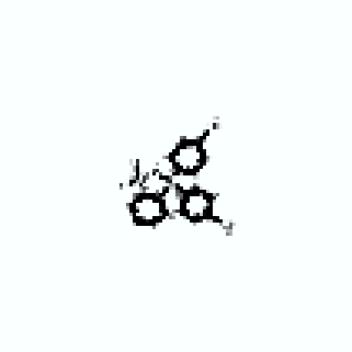 [O-][Cl+3]([O-])([O-])OS(c1ccccc1)(c1ccc(O)cc1)c1ccc(O)cc1